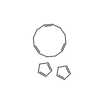 C1=CCC=C1.C1=CCC=C1.C1=CCCC=CCCC=CCC1